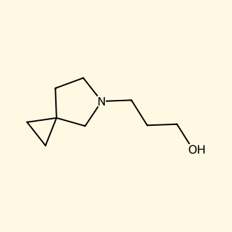 OCCCN1CCC2(CC2)C1